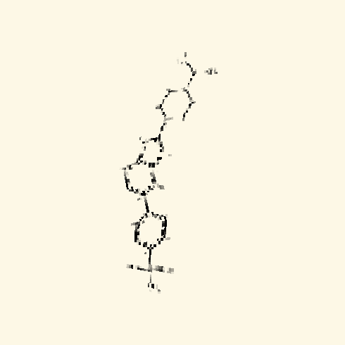 CC(C)N1CCN(c2nc3ccc(-c4ccc(S(C)(=O)=O)cc4)nc3s2)CC1